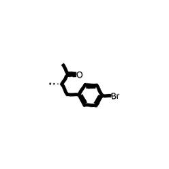 CC(=O)[C@@H](C)Cc1ccc(Br)cc1